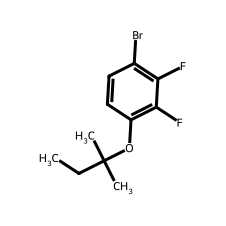 CCC(C)(C)Oc1ccc(Br)c(F)c1F